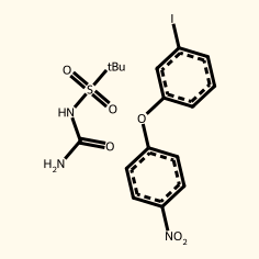 CC(C)(C)S(=O)(=O)NC(N)=O.O=[N+]([O-])c1ccc(Oc2cccc(I)c2)cc1